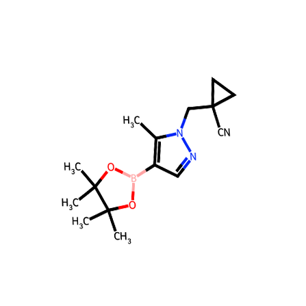 Cc1c(B2OC(C)(C)C(C)(C)O2)cnn1CC1(C#N)CC1